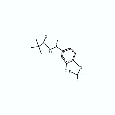 CC(N[S+]([O-])C(C)(C)C)c1ccc(OC(F)(F)F)c(Cl)c1